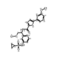 CCOCC(NC(=O)c1ncc(-c2cncc(OCC)n2)s1)c1cc(NS(=O)(=O)C2CC2)ccn1